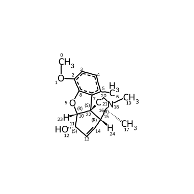 COc1ccc(C)c2c1O[C@H]1[C@@H](O)C=C[C@H]3[C@@H](C)N(C)CC[C@@]231